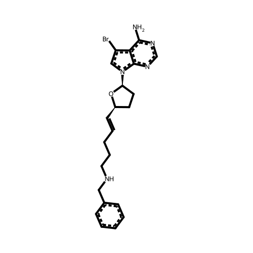 Nc1ncnc2c1c(Br)cn2[C@H]1CC[C@@H](/C=C/CCCNCc2ccccc2)O1